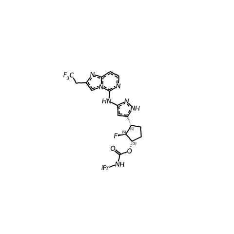 CC(C)NC(=O)O[C@H]1CC[C@@H](c2cc(Nc3nccc4nc(CC(F)(F)F)cn34)n[nH]2)[C@@H]1F